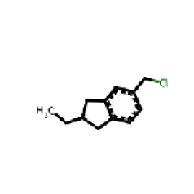 CCC1Cc2ccc(CCl)cc2C1